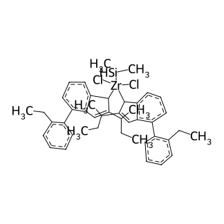 CCc1ccccc1-c1cccc2c1C=C(C(C)CC)[CH]2[Zr]([Cl])([Cl])([CH]1C(C(C)CC)=Cc2c(-c3ccccc3CC)cccc21)[SiH](C)C